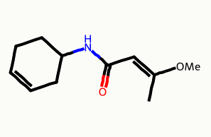 COC(C)=CC(=O)NC1CC=CCC1